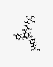 CCN(CC)C(=O)C1CCN(C(=O)Nc2cc(Oc3ccc(F)cc3)cc(Oc3ccc(C(C)(C)C(=O)O)cc3)c2)C1